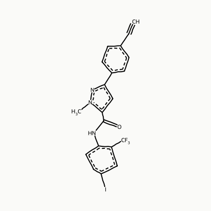 C#Cc1ccc(-c2cc(C(=O)Nc3ccc(I)cc3C(F)(F)F)n(C)n2)cc1